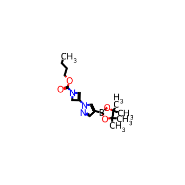 CCCCOC(=O)N1C=C(n2cc(B3OC(C)(C)C(C)(C)O3)cn2)C1